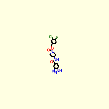 O=C(NC1CCN(C(=O)OCc2ccc(F)c(Cl)c2)CC1)c1ccc2[nH]nnc2c1